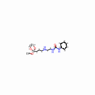 CCO[Si](CCCNCCNC(=O)Nc1ccccc1)(OCC)OCC